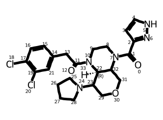 O=C(c1cc[nH]n1)N1CCN(C(=O)Cc2ccc(Cl)c(Cl)c2)[C@@H]2C(N3CCCC3)COCC21